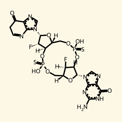 Nc1nc2c(ncn2[C@@H]2O[C@@H]3COP(O)(=S)O[C@H]4[C@H](F)[C@H](n5cnc6c5N=CCC6=O)O[C@@H]4COP(O)(=S)O[C@@H]2[C@@H]3F)c(=O)[nH]1